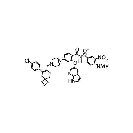 CNc1ccc([S+]([O-])NC(=O)c2ccc(N3CCN(CC4=C(c5ccc(Cl)cc5)CC5(CCC5)CC4)CC3)cc2Oc2cnc3[nH]ccc3c2)cc1[N+](=O)[O-]